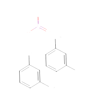 CC(C)(C)c1cccc(C(C)(C)C)c1.CC(C)(C)c1cccc(C(C)(C)C)c1.O=[PH](O)O